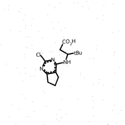 CC(C)(C)C(CC(=O)O)Nc1nc(Cl)nc2c1CCC2